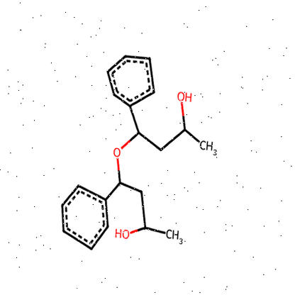 CC(O)CC(OC(CC(C)O)c1ccccc1)c1ccccc1